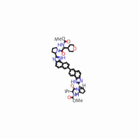 COC(=O)N[C@H](C(=O)N1[C@H]2CC[C@H](C2)[C@H]1c1nc2ccc3cc(-c4ccc5c(ccc6nc(C7CCCN7C(=O)[C@@H](NC(=O)OC)C7CCOCC7)[nH]c65)c4)ccc3c2[nH]1)C(C)C